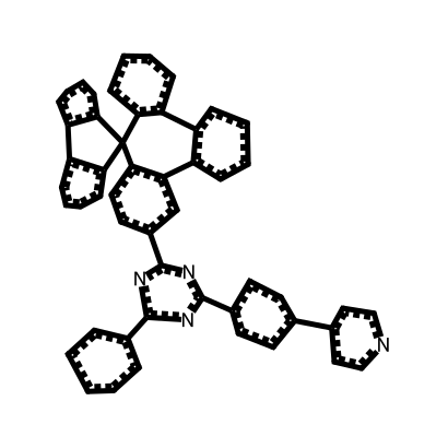 c1ccc(-c2nc(-c3ccc(-c4ccncc4)cc3)nc(-c3ccc4c(c3)-c3ccccc3-c3ccccc3C43c4ccccc4-c4ccccc43)n2)cc1